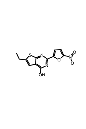 CCc1cc2c(O)nc(-c3ccc([N+](=O)[O-])o3)nc2s1